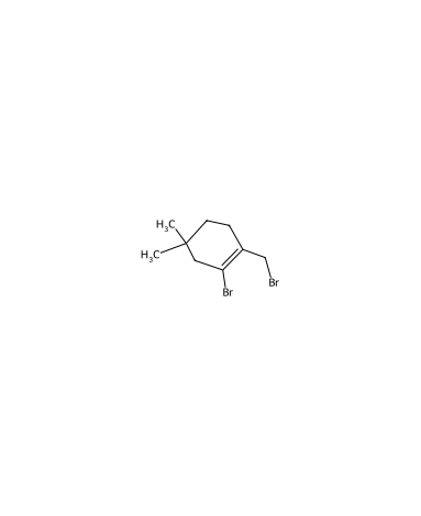 CC1(C)CCC(CBr)=C(Br)C1